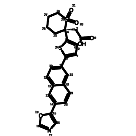 O=C(O)C[C@]1(c2ccc(-c3ccc4cc(-c5cnco5)ccc4c3)s2)CCCCS1(=O)=O